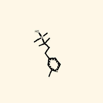 Cc1cc(CCC(C)(C)[Si](C)(C)O)ccn1